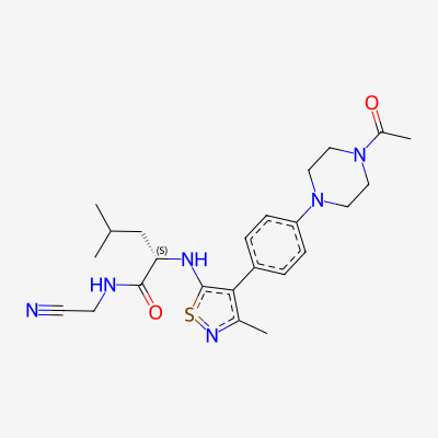 CC(=O)N1CCN(c2ccc(-c3c(C)nsc3N[C@@H](CC(C)C)C(=O)NCC#N)cc2)CC1